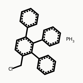 ClCc1ccc(-c2ccccc2)c(-c2ccccc2)c1-c1ccccc1.P